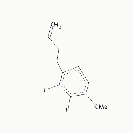 C=CCCc1ccc(OC)c(F)c1F